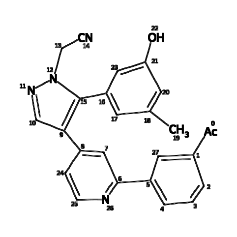 CC(=O)c1cccc(-c2cc(-c3cnn(CC#N)c3-c3cc(C)cc(O)c3)ccn2)c1